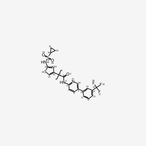 CC(C)(C(=O)Nc1ccc(-c2cccc(C(F)(F)F)c2)cn1)c1csc(NS(=O)(=O)C2CC2)n1